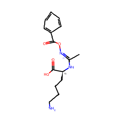 C/C(=N\OC(=O)c1ccccc1)N[C@@H](CCCCN)C(=O)O